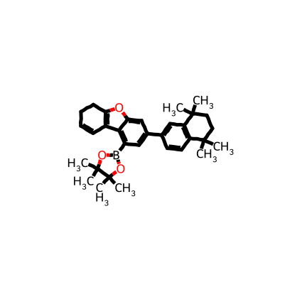 CC1(C)CCC(C)(C)c2cc(-c3cc(B4OC(C)(C)C(C)(C)O4)c4c5c(oc4c3)CCC=C5)ccc21